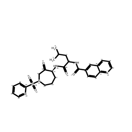 CC(C)CC(NC(=O)c1ccc2ncccc2c1)C(=O)N[C@H]1CCCN(S(=O)(=O)c2ccccn2)CC1=O